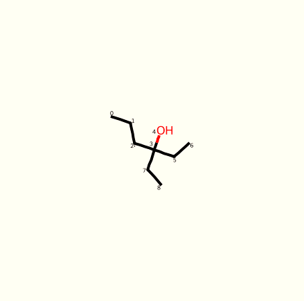 CC[CH]C(O)(CC)CC